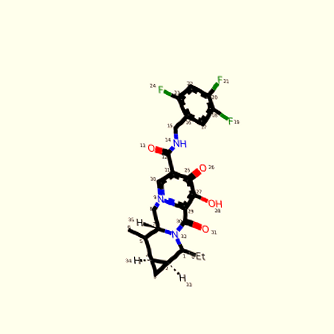 CCC1[C@H]2C[C@H]2C(C)[C@@H]2Cn3cc(C(=O)NCc4cc(F)c(F)cc4F)c(=O)c(O)c3C(=O)N12